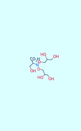 O=C(O)[C@H](CO)N(OCC(O)CO)OCC(O)CO